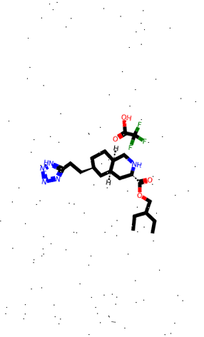 CCC(CC)COC(=O)[C@@H]1C[C@H]2C[C@@H](CCc3nnn[nH]3)CC[C@H]2CN1.O=C(O)C(F)(F)F